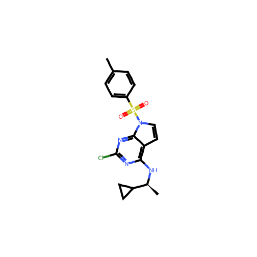 Cc1ccc(S(=O)(=O)n2ccc3c(N[C@@H](C)C4CC4)nc(Cl)nc32)cc1